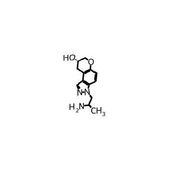 CC(N)Cn1ncc2c3c(ccc21)OC[C@@H](O)C3